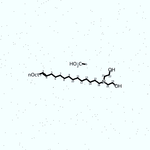 CC(=O)O.CCCCCCCCC=CCCCCCCCCCCCCN(CCO)CCO